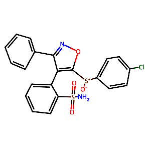 NS(=O)(=O)c1ccccc1-c1c(-c2ccccc2)noc1[S+]([O-])c1ccc(Cl)cc1